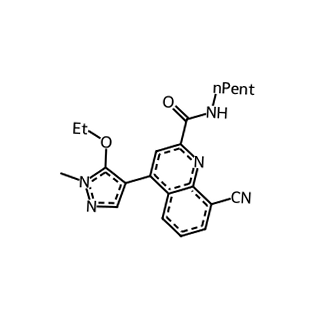 CCCCCNC(=O)c1cc(-c2cnn(C)c2OCC)c2cccc(C#N)c2n1